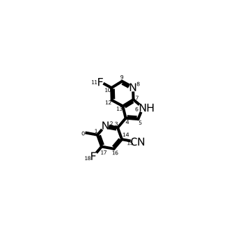 Cc1nc(-c2c[nH]c3ncc(F)cc23)c(C#N)cc1F